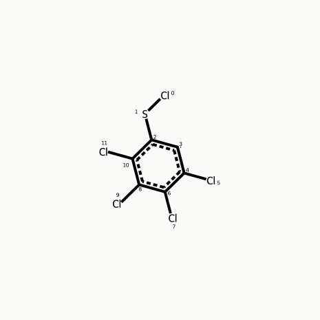 ClSc1[c]c(Cl)c(Cl)c(Cl)c1Cl